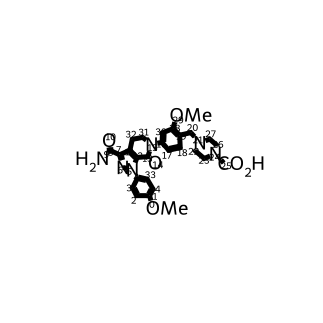 COc1ccc(-n2nc(C(N)=O)c3c2C(=O)N(c2ccc(CN4CCN(C(=O)O)CC4)c(OC)c2)CC3)cc1